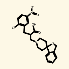 O=C(O)C(Cc1cc([N+](=O)[O-])ccc1Cl)CN1CCC2(CC1)OCc1ccccc12